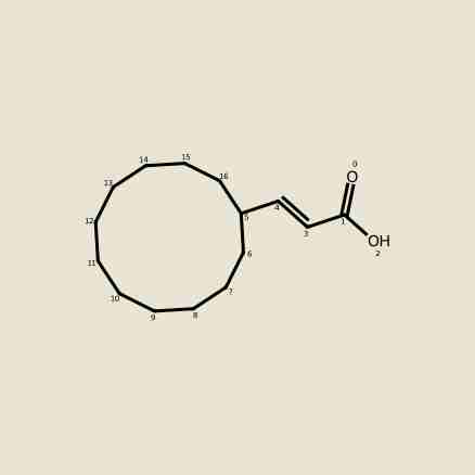 O=C(O)/C=C/C1CCCCCCCCCCC1